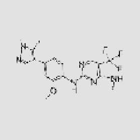 CNc1nc(Nc2ccc(-c3cnn(C)c3C)cc2OC)ncc1C(F)(F)F